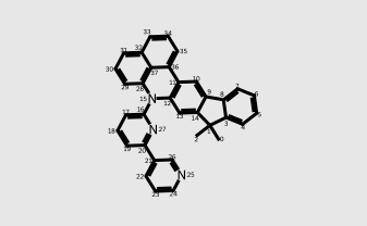 CC1(C)c2ccccc2-c2cc3c(cc21)N(c1cccc(-c2cccnc2)n1)c1cccc2cccc-3c12